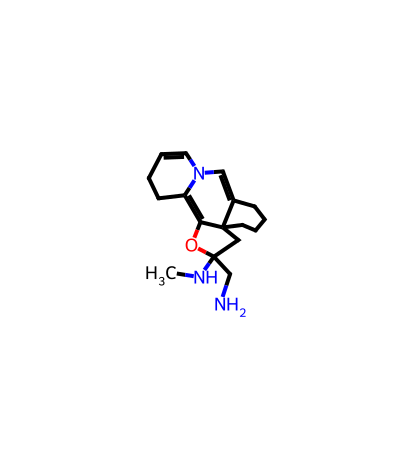 CNC1(CN)CC23CCCCC2=CN2C=CCCC2=C3O1